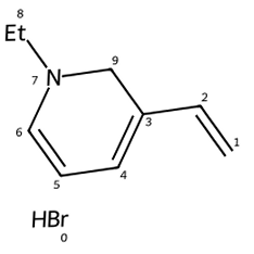 Br.C=CC1=CC=CN(CC)C1